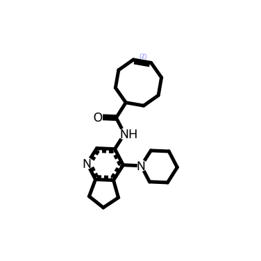 O=C(Nc1cnc2c(c1N1CCCCC1)CCC2)C1CC/C=C\CCC1